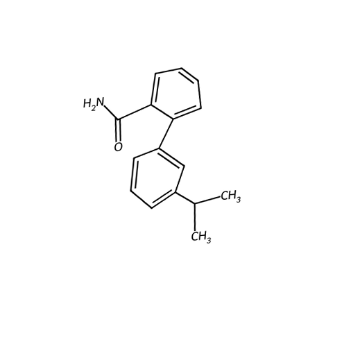 CC(C)c1cccc(-c2ccccc2C(N)=O)c1